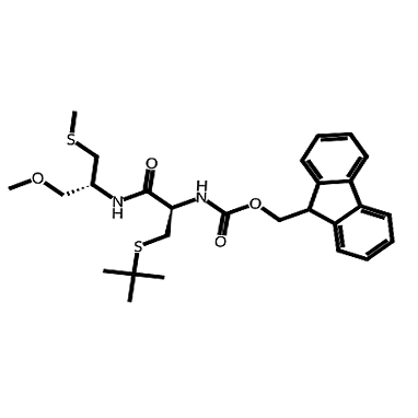 COC[C@H](CSC)NC(=O)[C@H](CSC(C)(C)C)NC(=O)OCC1c2ccccc2-c2ccccc21